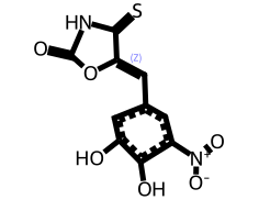 O=C1NC(=S)/C(=C/c2cc(O)c(O)c([N+](=O)[O-])c2)O1